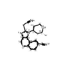 C[C@@H]1CC(n2c(CC#N)nc3cnc4ccc(C#N)cc4c32)CCO1